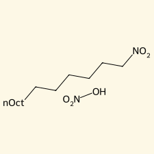 CCCCCCCCCCCCCC[N+](=O)[O-].O=[N+]([O-])O